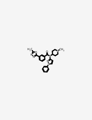 Cc1nnc(-c2cccc(C(=O)N(c3ccn(-c4ccccc4)n3)C3CCN(C)CC3)c2)o1